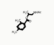 CC(=O)NCC(C)OC(=O)c1ccc(C)cc1C